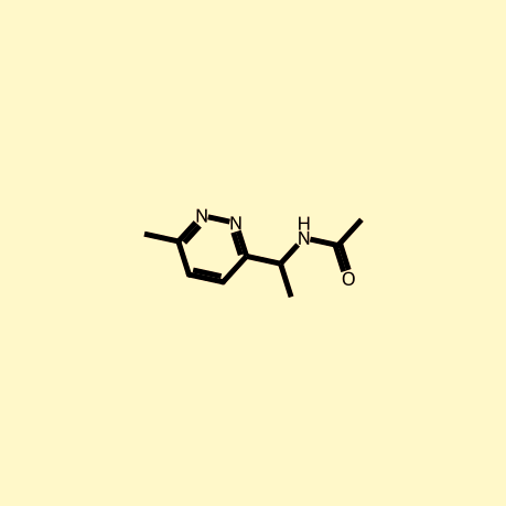 CC(=O)NC(C)c1ccc(C)nn1